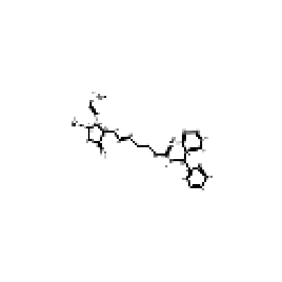 CCCCCCC=C[C@H]1[C@H](O)CC(=O)[C@@H]1CC=CCCCC(=O)OC(c1ccccc1)c1ccccc1